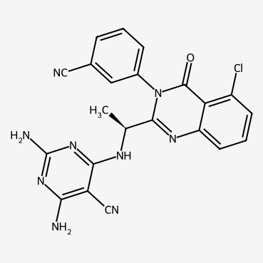 C[C@H](Nc1nc(N)nc(N)c1C#N)c1nc2cccc(Cl)c2c(=O)n1-c1cccc(C#N)c1